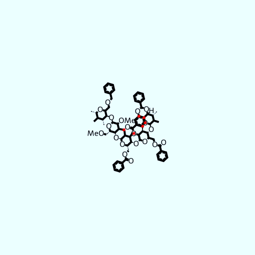 COC[C@@H]1O[C@@H](O[C@@H]2C(COCc3ccccc3)O[C@@H](C)C(C)[C@H]2C)C(OC)C(C)[C@@H]1O[C@H]1O[C@@H](COC(=O)c2ccccc2)[C@@H](O[C@@H]2OC(COC(=O)c3ccccc3)[C@@H](O[C@H]3OC4COC(c5ccccc5)O[C@H]4[C@H](C)C3C)[C@H](C)C2OC(=O)c2ccccc2)C(C)C1C